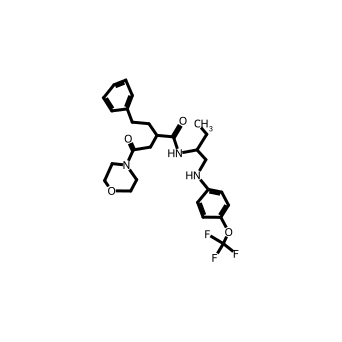 CCC(CNc1ccc(OC(F)(F)F)cc1)NC(=O)C(CCc1ccccc1)CC(=O)N1CCOCC1